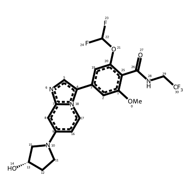 COc1cc(-c2cnc3cc(N4CC[C@H](O)C4)ccn23)cc(OC(F)F)c1C(=O)NCC(F)(F)F